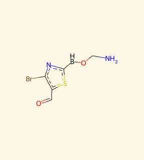 NCOBc1nc(Br)c(C=O)s1